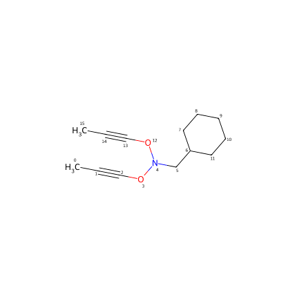 CC#CON(CC1CCCCC1)OC#CC